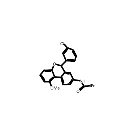 COc1cccc2c1-c1ccc(NC(=O)C(C)C)cc1C(c1cccc(Cl)c1)O2